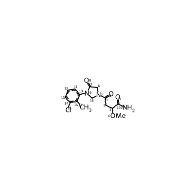 COC(CC(=O)N1CC(=O)N(c2cccc(Cl)c2C)C1)C(N)=O